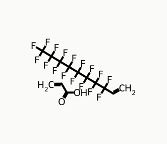 C=CC(=O)O.C=CC(F)(F)C(F)(F)C(F)(F)C(F)(F)C(F)(F)C(F)(F)C(F)(F)C(F)(F)F